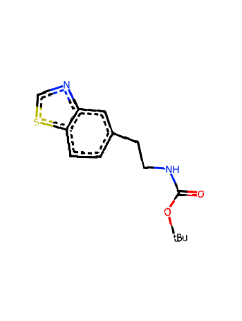 CC(C)(C)OC(=O)NCCc1ccc2scnc2c1